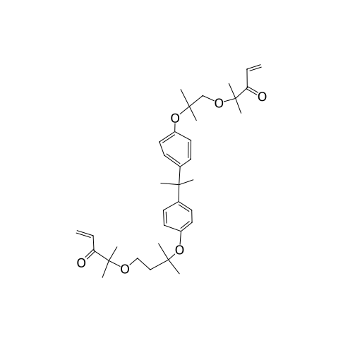 C=CC(=O)C(C)(C)OCCC(C)(C)Oc1ccc(C(C)(C)c2ccc(OC(C)(C)COC(C)(C)C(=O)C=C)cc2)cc1